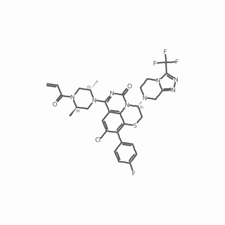 C=CC(=O)N1C[C@H](C)N(c2nc(=O)n3c4c(c(-c5ccc(F)cc5)c(Cl)cc24)SC[C@H]3N2CCn3c(nnc3C(F)(F)F)C2)C[C@H]1C